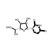 O=CC(O)[C@H]1O[C@@H](n2ccc(=O)[nH]c2=O)[C@H](O)[C@@H]1O